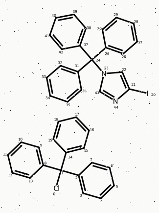 ClC(c1ccccc1)(c1ccccc1)c1ccccc1.Ic1cn(C(c2ccccc2)(c2ccccc2)c2ccccc2)cn1